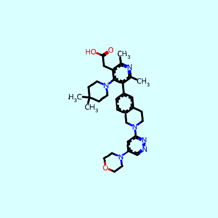 Cc1nc(C)c(-c2ccc3c(c2)CCN(c2cc(N4CCOCC4)cnn2)C3)c(N2CCC(C)(C)CC2)c1CC(=O)O